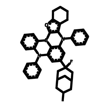 CC1CC2CC(C1)CC(F)(c1cc3c4c(c1)N(c1ccccc1)c1c(oc5c1CCCC5)B4c1ccccc1N3c1ccccc1)C2